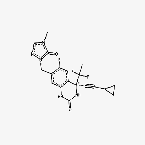 Cn1cnn(Cc2cc3c(cc2F)[C@@](C#CC2CC2)(C(C)(F)F)NC(=O)N3)c1=O